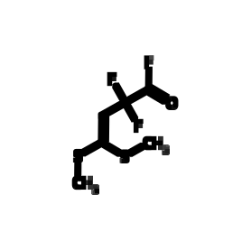 CSC(=CC(F)(F)C(=O)F)SC